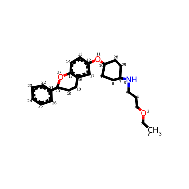 CCOCCCNC1CCC(Oc2ccc3c(c2)CCC(c2ccccc2)O3)CC1